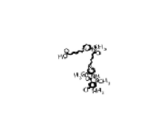 COc1cc(N)c(Cl)cc1C(=O)N[C@@H]1CCN(CCCCCC(=O)N(C)[C@@H]2CCCN(CCCCCC(=O)O)C2)C[C@@H]1OC